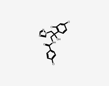 O=C(NCC(O)(Cn1cncn1)c1ccc(Cl)cc1Cl)c1ccc(Cl)cc1